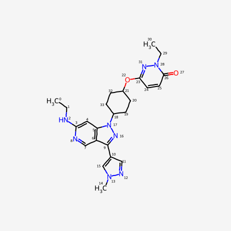 CCNc1cc2c(cn1)c(-c1cnn(C)c1)nn2C1CCC(Oc2ccc(=O)n(CC)n2)CC1